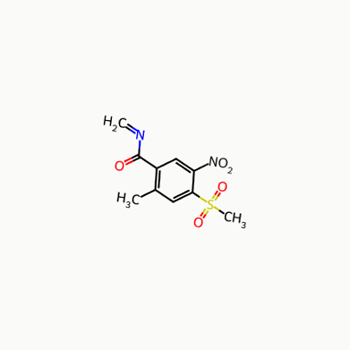 C=NC(=O)c1cc([N+](=O)[O-])c(S(C)(=O)=O)cc1C